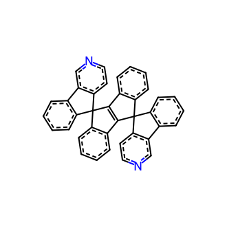 c1ccc2c(c1)C1=C(c3ccccc3C13c1ccccc1-c1cnccc13)C21c2ccccc2-c2cnccc21